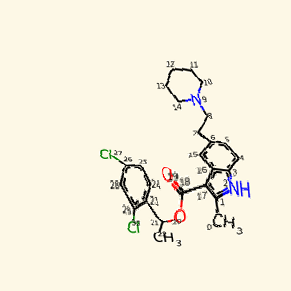 Cc1[nH]c2ccc(CCN3CCCCC3)cc2c1C(=O)OC(C)c1ccc(Cl)cc1Cl